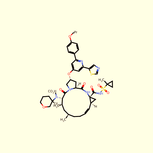 CC(C)Oc1ccc(-c2cc(O[C@@H]3C[C@H]4C(=O)N[C@]5(C(=O)NS(=O)(=O)C6(C)CC6)C[C@H]5C=CCC[C@@H](C)C[C@@H](C)[C@H](N(C(=O)O)C5(C(F)(F)F)CCCOC5)C(=O)N4C3)cc(-c3cncs3)n2)cc1